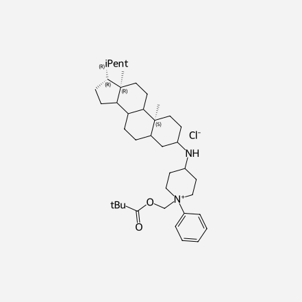 CCC[C@@H](C)[C@H]1CCC2C3CCC4CC(NC5CC[N+](COC(=O)C(C)(C)C)(c6ccccc6)CC5)CC[C@]4(C)C3CC[C@@]21C.[Cl-]